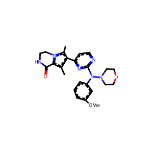 COc1cccc(N(c2nccc(-c3c(C)c4n(c3C)CCNC4=O)n2)N2CCOCC2)c1